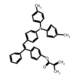 C=C(C)C(=O)Oc1ccc(/C(=C\c2ccc(N(c3ccc(C)cc3)c3ccc(C)cc3)cc2)c2ccccc2)cc1